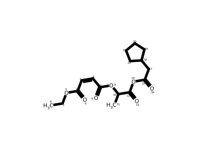 CCOC(=O)/C=C\C(=O)OC(C)C(=O)OC(=O)CC1CCCC1